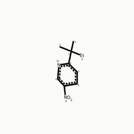 CCC(C)(C)c1ccc([N+](=O)[O-])cn1